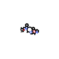 C=C1CC2C(CCc3ccc4c(oc5ncccc54)c3-c3cc(C(C)C)cc[n+]3C1)c1ccccc1-c1cc(C(C)C)c([Si](C)(C)C)c[n+]12